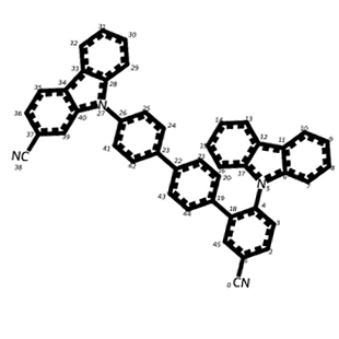 N#Cc1ccc(-n2c3ccccc3c3ccccc32)c(-c2ccc(-c3ccc(-n4c5ccccc5c5ccc(C#N)cc54)cc3)cc2)c1